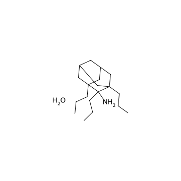 CCCC12CC3CC(C1)CC(CCC)(C3)C2(N)CCC.O